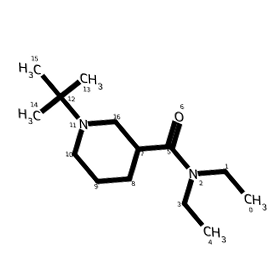 CCN(CC)C(=O)C1CCCN(C(C)(C)C)C1